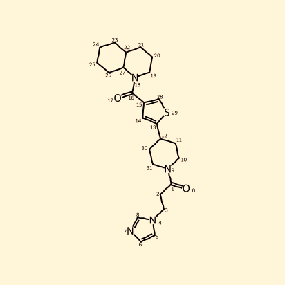 O=C(CCn1ccnc1)N1CCC(c2cc(C(=O)N3CCCC4CCCCC43)cs2)CC1